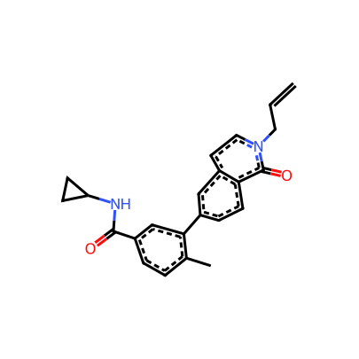 C=CCn1ccc2cc(-c3cc(C(=O)NC4CC4)ccc3C)ccc2c1=O